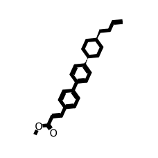 C=CCC[C@H]1CC[C@H](c2ccc(-c3ccc(/C=C/C(=O)OC)cc3)cc2)CC1